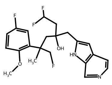 COc1ccc(F)cc1C(C)(CF)CC(O)(Cc1cc2ccncc2[nH]1)CC(F)F